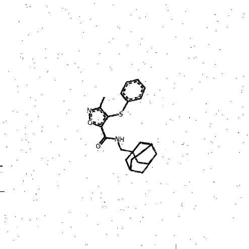 Cc1noc(C(=O)NCC23CC4CC(CC(C4)C2)C3)c1Sc1ccccc1